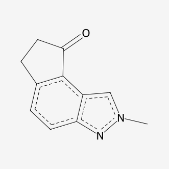 Cn1cc2c3c(ccc2n1)CCC3=O